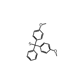 COc1ccc(C([S])(c2ccccc2)c2ccc(OC)cc2)cc1